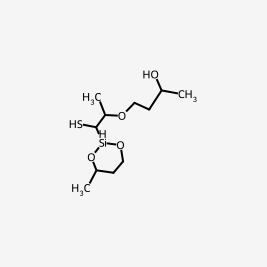 CC(O)CCOC(C)C(S)[SiH]1OCCC(C)O1